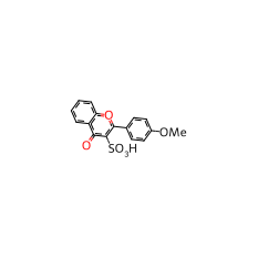 COc1ccc(-c2oc3ccccc3c(=O)c2S(=O)(=O)O)cc1